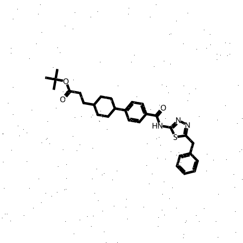 CC(C)(C)OC(=O)CCC1CCC(c2ccc(C(=O)Nc3nnc(Cc4ccccc4)s3)cc2)CC1